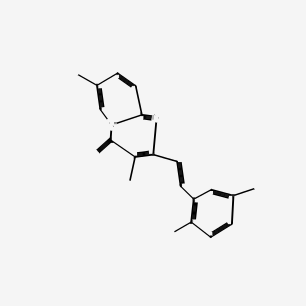 Cc1ccc(C)c(C=Cc2nc3ccc(C(=O)O)cn3c(=O)c2C)c1